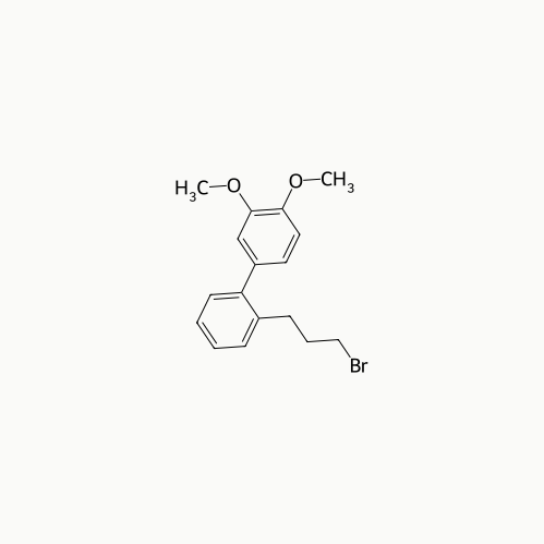 COc1ccc(-c2ccccc2CCCBr)cc1OC